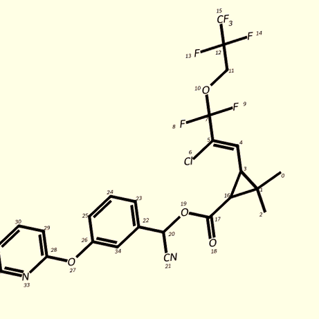 CC1(C)C(C=C(Cl)C(F)(F)OCC(F)(F)C(F)(F)F)C1C(=O)OC(C#N)c1cccc(Oc2ccccn2)c1